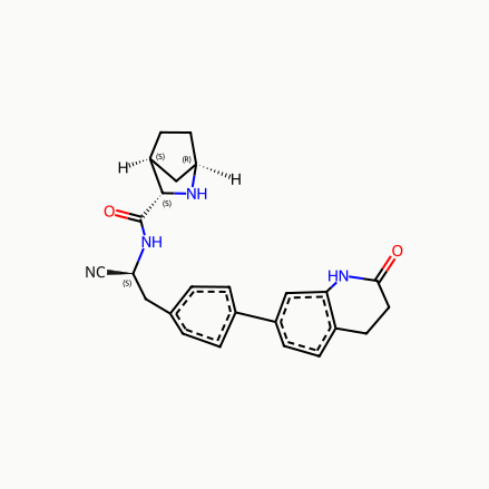 N#C[C@H](Cc1ccc(-c2ccc3c(c2)NC(=O)CC3)cc1)NC(=O)[C@H]1N[C@@H]2CC[C@H]1C2